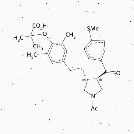 CSc1ccc(C(=O)[C@H]2CN(C(C)=O)C[C@@H]2CCc2cc(C)c(OC(C)(C)C(=O)O)c(C)c2)cc1